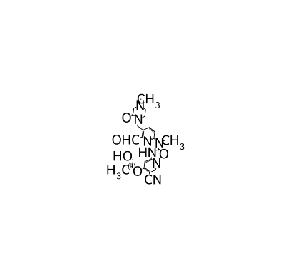 C[C@H](CO)Oc1cc(NC(=O)N(C)c2ccc(CN3CCN(C)CC3=O)c(C=O)n2)ncc1C#N